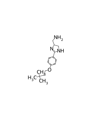 CC(C)(C)CCOc1ccc(C2=NC(CN)CN2)cc1